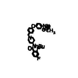 CCCCN(C(=O)c1ccc(F)cc1F)C1CCN(Cc2ccc(Oc3ccc(NS(C)(=O)=O)cc3)cc2)CC1